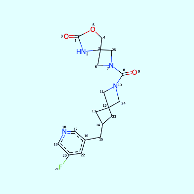 O=C1NC2(CO1)CN(C(=O)N1CC3(CC(Cc4cncc(F)c4)C3)C1)C2